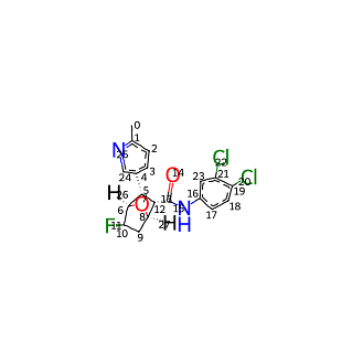 Cc1ccc([C@H]2[C@H]3O[C@H](C[C@H]3F)[C@H]2C(=O)Nc2ccc(Cl)c(Cl)c2)cn1